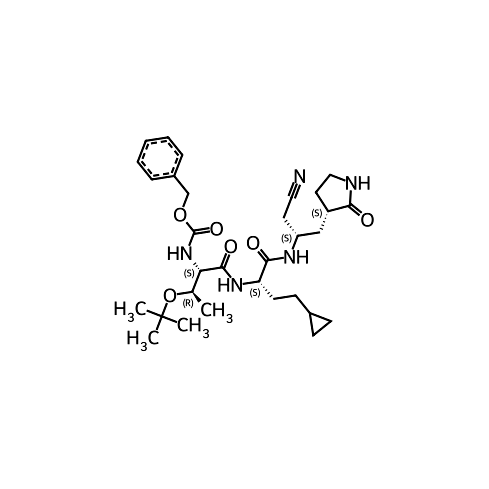 C[C@@H](OC(C)(C)C)[C@H](NC(=O)OCc1ccccc1)C(=O)N[C@@H](CCC1CC1)C(=O)N[C@H](CC#N)C[C@@H]1CCNC1=O